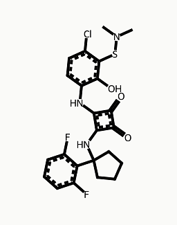 CN(C)Sc1c(Cl)ccc(Nc2c(NC3(c4c(F)cccc4F)CCCC3)c(=O)c2=O)c1O